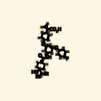 CCC(CC)C1(O)CCN(C(=O)Nc2cc(Oc3ccc(F)cc3)cc(Oc3ccc(C4(C(=O)O)CC4)cc3)c2)CC1